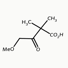 COCC(=O)C(C)(C)C(=O)O